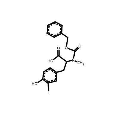 CN(C(=O)OCc1ccccc1)C(Cc1ccc(O)c(I)c1)C(=O)O